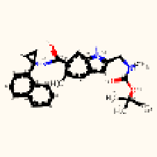 Cc1cc2cc(CN(C)C(=O)OC(C)(C)C)[nH]c2cc1C(=O)NC1(c2cccc3ccccc23)CC1